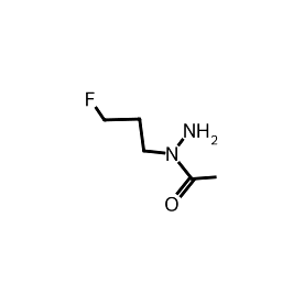 CC(=O)N(N)CCCF